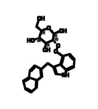 OC[C@H]1O[C@@H](O)[C@H](OOc2cccc3[nH]cc(Cc4ccc5ccccc5c4)c23)[C@@H](O)[C@@H]1O